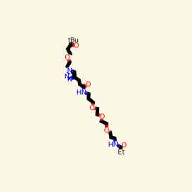 CCC(=O)NCCCOCCOCCOCCCNC(=O)CCc1cn(CCOCCC(=O)C(C)(C)C)nn1